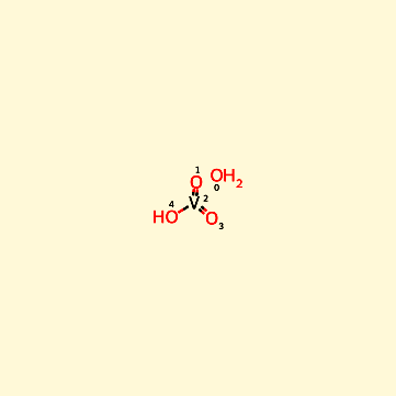 O.[O]=[V](=[O])[OH]